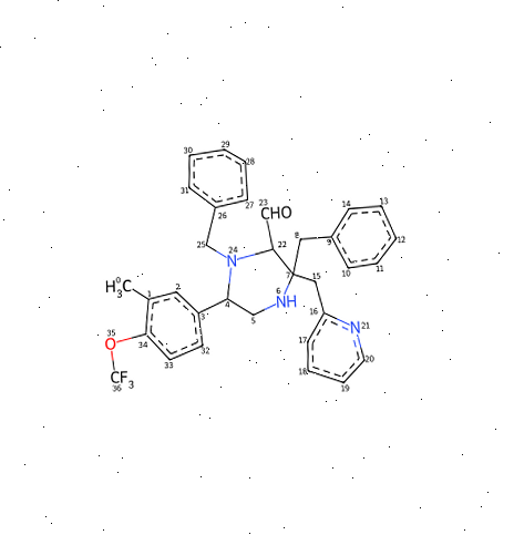 Cc1cc(C2CNC(Cc3ccccc3)(Cc3ccccn3)C(C=O)N2Cc2ccccc2)ccc1OC(F)(F)F